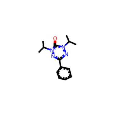 CC(C)n1nc(-c2ccccc2)n[n+](C(C)C)c1=O